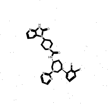 O=C(N[C@@H]1CC[C@@H](c2cccc(F)c2F)CN(c2ncccn2)C1)N1CCC(n2c(=O)[nH]c3ncccc32)CC1